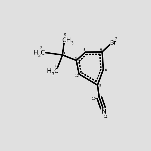 CC(C)(C)c1cc(Br)cc(C#N)c1